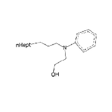 CCCCCCCCCCN(CCO)c1ccccc1